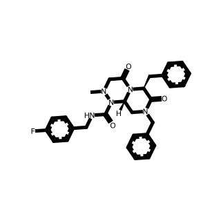 CN1CC(=O)N2[C@@H](Cc3ccccc3)C(=O)N(Cc3ccccc3)C[C@@H]2N1C(=O)NCc1ccc(F)cc1